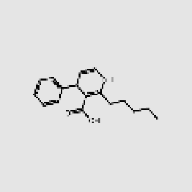 CCCCCC1=C(C(=O)O)C(c2ccccc2)C=CN1